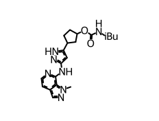 CCC(C)NC(=O)OC1CCC(c2cc(Nc3nccc4cnn(C)c34)n[nH]2)C1